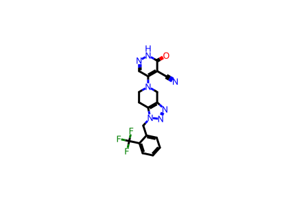 N#Cc1c(N2CCc3c(nnn3Cc3ccccc3C(F)(F)F)C2)cn[nH]c1=O